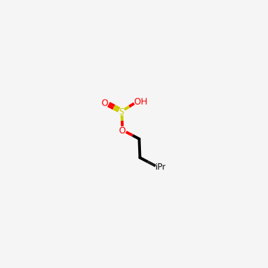 CC(C)CCOS(=O)O